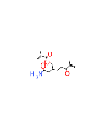 C=C(C)C(=O)CCC(COC(=O)C(=C)C)CC(N)=O